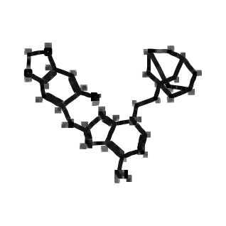 Nc1ncn(CCC23CC4CC(CC(C4)C2)C3)c2nc(Sc3cc4c(cc3Br)OCO4)nc1-2